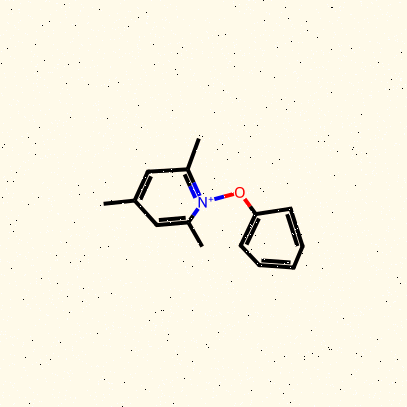 Cc1cc(C)[n+](Oc2ccccc2)c(C)c1